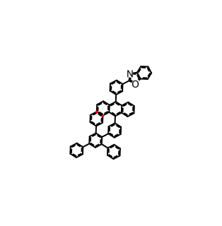 c1ccc(-c2cc(-c3ccccc3)c(-c3cccc(-c4c5ccccc5c(-c5cccc(-c6nc7ccccc7o6)c5)c5ccccc45)c3)c(-c3ccccc3)c2)cc1